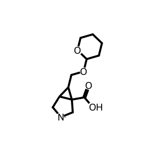 O=C(O)C12C[N]CC1C2COC1CCCCO1